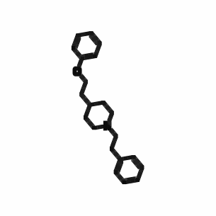 c1ccc(CCN2CCC(CCOc3ccccc3)CC2)cc1